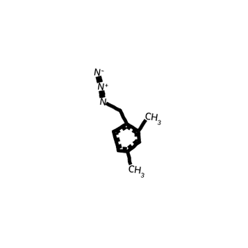 Cc1ccc(CN=[N+]=[N-])c(C)c1